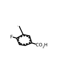 [CH2]c1cc(C(=O)O)ccc1F